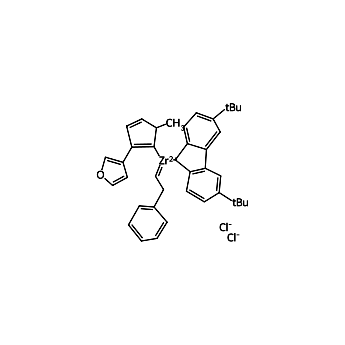 CC1C=CC(c2ccoc2)=[C]1/[Zr+2](=[CH]/Cc1ccccc1)[CH]1c2ccc(C(C)(C)C)cc2-c2cc(C(C)(C)C)ccc21.[Cl-].[Cl-]